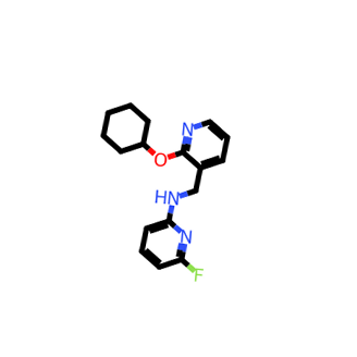 Fc1cccc(NCc2cccnc2OC2CCCCC2)n1